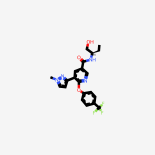 CC[C@H](CO)NC(=O)c1cnc(Oc2ccc(C(F)(F)F)cc2)c(-c2ccn(C)n2)c1